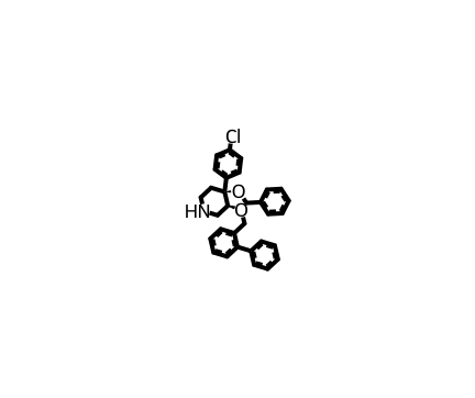 Clc1ccc([C@]2(OCc3ccccc3)CCNC[C@@H]2OCc2ccccc2-c2ccccc2)cc1